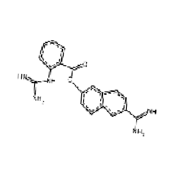 N=C(N)Nc1ccccc1C(=O)Oc1ccc2cc(C(=N)N)ccc2c1